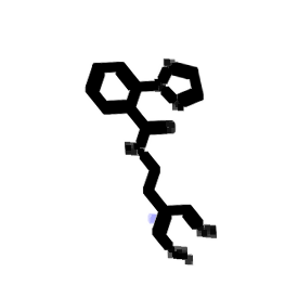 N=C/C(=C\N)CCNC(=O)c1ccccc1-n1nccn1